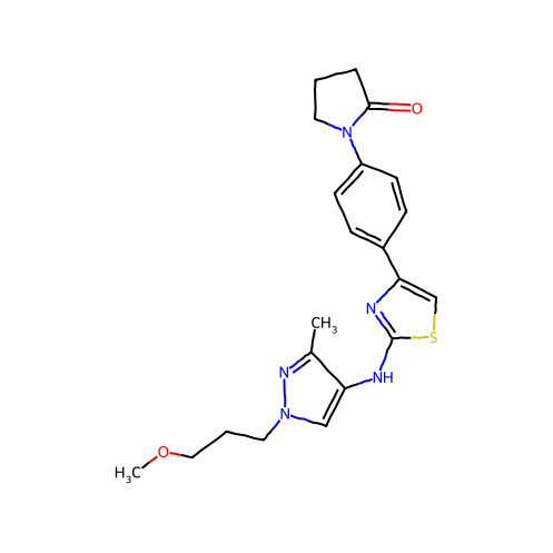 COCCCn1cc(Nc2nc(-c3ccc(N4CCCC4=O)cc3)cs2)c(C)n1